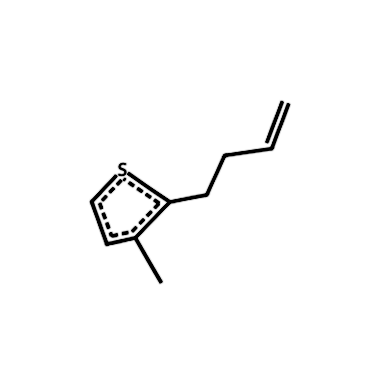 C=CCCc1sccc1C